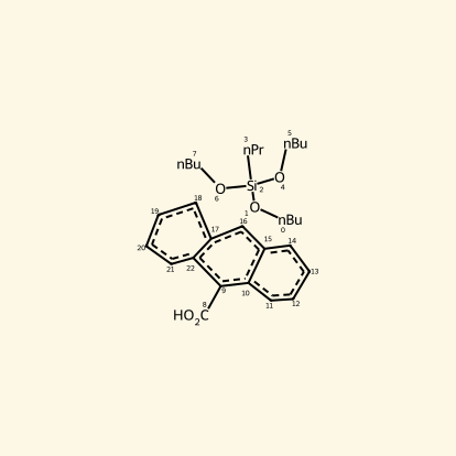 CCCCO[Si](CCC)(OCCCC)OCCCC.O=C(O)c1c2ccccc2cc2ccccc12